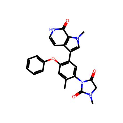 Cc1cc(Oc2ccccc2)c(-c2cn(C)c3c(=O)[nH]ccc23)cc1N1C(=O)CN(C)C1=O